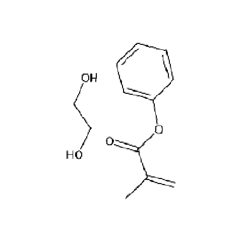 C=C(C)C(=O)Oc1ccccc1.OCCO